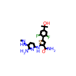 C=NNc1ccc(Nc2sc(-c3c(F)cc(C(C)(C)O)cc3F)cc2C(N)=O)nc1N